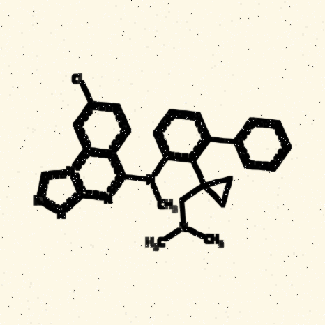 CN(C)CC1(c2c(-c3ccccc3)cccc2N(C)c2nc3nncn3c3cc(Cl)ccc23)CC1